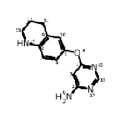 Nc1cc(Oc2ccc3c(c2)CCCN3)ncn1